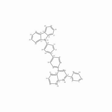 c1ccc(-c2nc(-c3ccc(-c4ccc(-n5c6ccccc6c6ccccc65)cc4)cc3)c3nccnc3n2)cc1